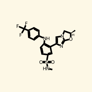 CNS(=O)(=O)c1ccc(Nc2ccc(C(F)(F)F)cc2)c(-c2cn3c(n2)O[C@H](C)C3)c1